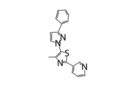 Cc1nc(-c2cccnc2)sc1-n1ccc(-c2ccccc2)n1